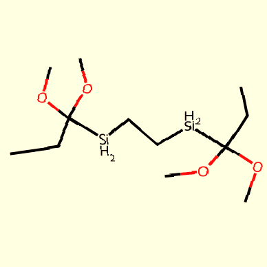 CCC(OC)(OC)[SiH2]CC[SiH2]C(CC)(OC)OC